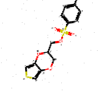 Cc1ccc(S(=O)(=O)OCC2COc3cscc3O2)cc1